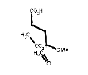 C=O.CC(=O)O.COCCCC(=O)O